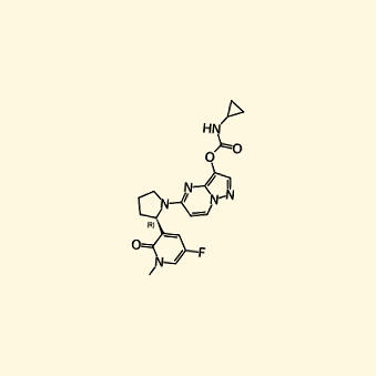 Cn1cc(F)cc([C@H]2CCCN2c2ccn3ncc(OC(=O)NC4CC4)c3n2)c1=O